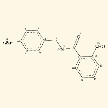 CCCCc1ccc(CNC(=O)c2ccccc2C=O)cc1